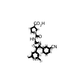 Cc1cc(-c2sc(NC(=O)N3CC[C@@H](C(=O)O)C3)nc2-c2cccc(C#N)c2)cc(C)n1